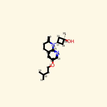 C=C1CCc2cc(OCCC(C)C)cnc2N1[C@H]1C[C@](C)(O)C1